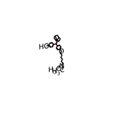 CCN(CC)CCCCCCOc1ccc(C(=C2C3CC4CC(C3)CC2C4)c2ccc(O)cc2)cc1